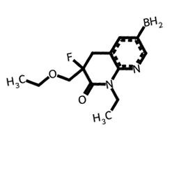 Bc1cnc2c(c1)CC(F)(COCC)C(=O)N2CC